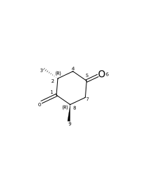 C=C1[C@H](C)CC(=O)C[C@H]1C